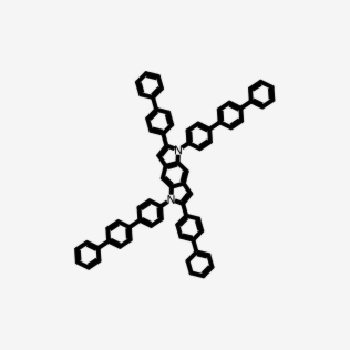 C1=CCCC(c2ccc(-c3cc4cc5c(cc(-c6ccc(-c7ccccc7)cc6)n5-c5ccc(-c6ccc(-c7ccccc7)cc6)cc5)cc4n3-c3ccc(-c4ccc(-c5ccccc5)cc4)cc3)cc2)=C1